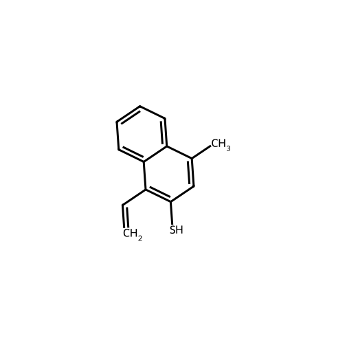 C=Cc1c(S)cc(C)c2ccccc12